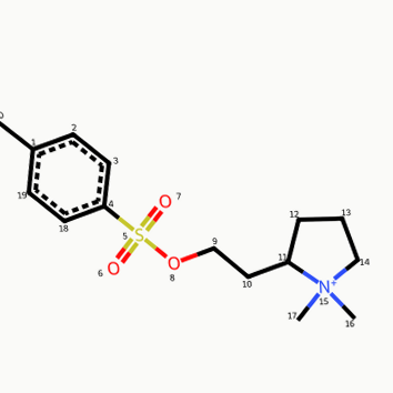 Cc1ccc(S(=O)(=O)OCCC2CCC[N+]2(C)C)cc1